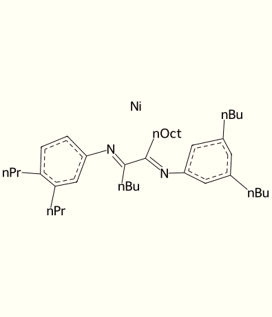 CCCCCCCCC(=N\c1cc(CCCC)cc(CCCC)c1)/C(CCCC)=N/c1ccc(CCC)c(CCC)c1.[Ni]